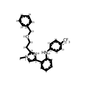 Cn1cc(-c2ccccc2Nc2ccc(C(F)(F)F)cc2)nc1CCOCc1ccccc1